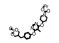 Cc1c(Oc2ccc(CC3COS(=O)OC3)cc2)ncnc1OC1CCN(C(=O)OC(C)C)CC1